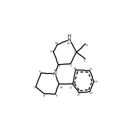 CC1(C)CC(N2CCCCC2c2ccccc2)CCN1